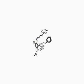 CC(C)OC(=O)CCC/C=C\C[C@H]1C(=O)C[C@@H](O[Si](C)(C)C(C)(C)C)[C@@H]1/C=C/[C@H](CCc1ccccc1)O[Si](C)(C)C(C)(C)C